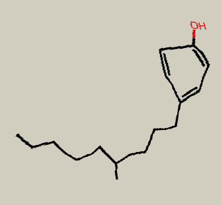 CCCCCC(C)CCCc1ccc(O)cc1